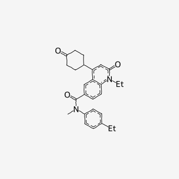 CCc1ccc(N(C)C(=O)c2ccc3c(c2)c(C2CCC(=O)CC2)cc(=O)n3CC)cc1